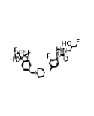 O=C(NCC(O)CF)Nc1ccc(CC2CCN(Cc3ccc(C(O)(C(F)(F)F)C(F)(F)F)cc3)CC2)cc1F